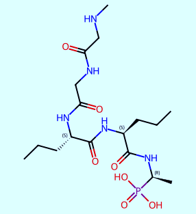 CCC[C@H](NC(=O)CNC(=O)CNC)C(=O)N[C@@H](CCC)C(=O)N[C@@H](C)P(=O)(O)O